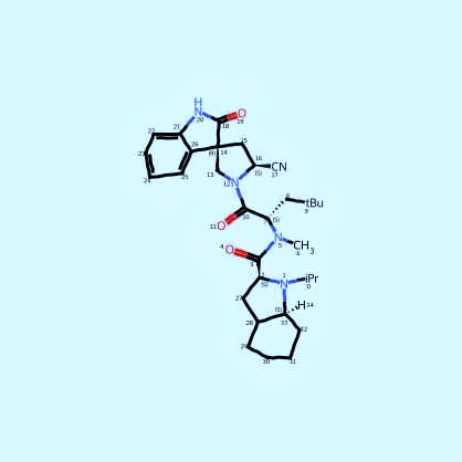 CC(C)N1[C@H](C(=O)N(C)[C@@H](CC(C)(C)C)C(=O)N2C[C@]3(C[C@H]2C#N)C(=O)Nc2ccccc23)CC2CCCC[C@@H]21